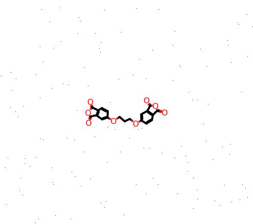 O=C1OC(=O)c2cc(OCCCOc3ccc4c(c3)C(=O)OC4=O)ccc21